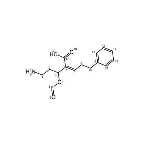 NCCC(OP=O)C(=CCCc1ccccc1)C(=O)O